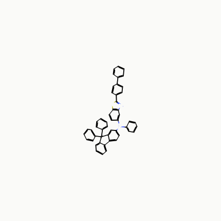 c1ccc(-c2ccc(-c3nc4cc(N(c5ccccc5)c5ccc6c(c5)C(c5ccccc5)(c5ccccc5)c5ccccc5-6)ccc4s3)cc2)cc1